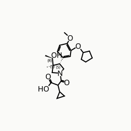 COc1ccc([C@@H]2CN(C(=O)C(C(=O)O)C3CC3)C[C@@]2(C)[C@@H](C)O)cc1OC1CCCC1